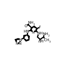 CCCC(CNc1nc(Nc2cccc(-n3ccnn3)c2)c(C(N)=O)cc1F)C(C)N